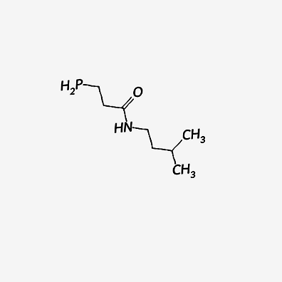 CC(C)CCNC(=O)CCP